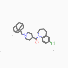 O=C(C1CCN(CC23CC4CC(CC(C4)C2)C3)CC1)N1CCCCc2cc(Cl)ccc21